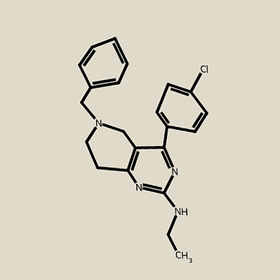 CCNc1nc2c(c(-c3ccc(Cl)cc3)n1)CN(Cc1ccccc1)CC2